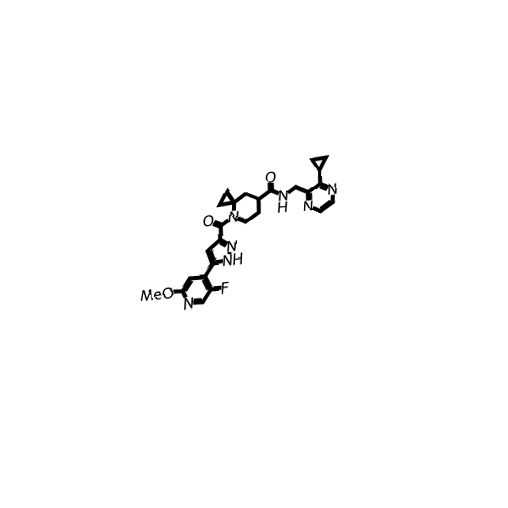 COc1cc(-c2cc(C(=O)N3CCC(C(=O)NCc4nccnc4C4CC4)CC34CC4)n[nH]2)c(F)cn1